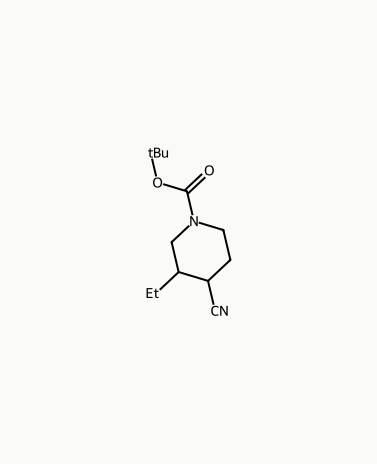 CCC1CN(C(=O)OC(C)(C)C)CCC1C#N